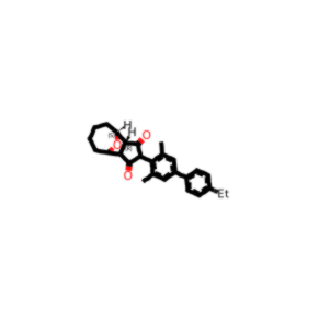 CCc1ccc(-c2cc(C)c(C3C(=O)C4C5CCCC[C@H](O5)[C@@H]4C3=O)c(C)c2)cc1